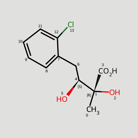 C[C@](O)(C(=O)O)[C@@H](O)Cc1ccccc1Cl